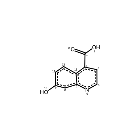 O=C(O)c1ccnc2cc(O)ccc12